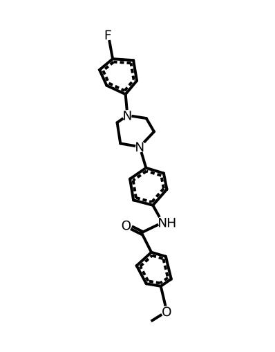 COc1ccc(C(=O)Nc2ccc(N3CCN(c4ccc(F)cc4)CC3)cc2)cc1